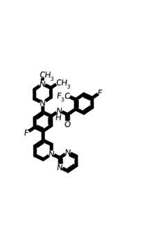 CC1CN(c2cc(F)c(C3=CCCN(c4ncccn4)C3)cc2NC(=O)c2ccc(F)cc2C(F)(F)F)CCN1C